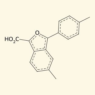 Cc1ccc(-c2oc(C(=O)O)c3ccc(C)cc23)cc1